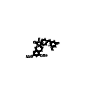 COc1cc2c(c(OC)c1)CC=C1N(C2)C(=O)NC12CCN(Cc1cc(C)cc(C)c1)CC2